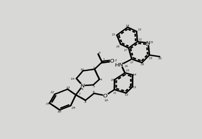 CC(=O)C1CCN(C2(CCOc3cccc(Nc4cc(C)nc5ccccc45)c3)C=CC=CC2)CC1